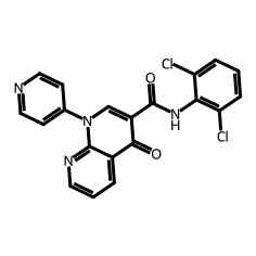 O=C(Nc1c(Cl)cccc1Cl)c1cn(-c2ccncc2)c2ncccc2c1=O